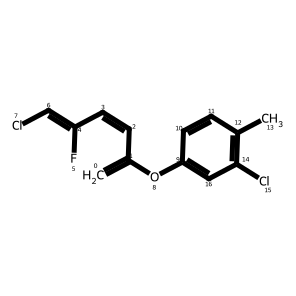 C=C(/C=C\C(F)=C\Cl)Oc1ccc(C)c(Cl)c1